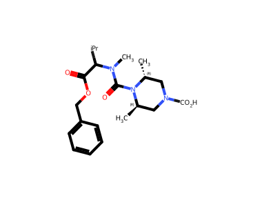 CC(C)C(C(=O)OCc1ccccc1)N(C)C(=O)N1[C@H](C)CN(C(=O)O)C[C@H]1C